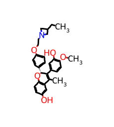 CCC1CN(CCOc2ccc([C@H]3Oc4ccc(O)cc4C(C)=C3c3ccc(OC)c(O)c3)cc2)C1